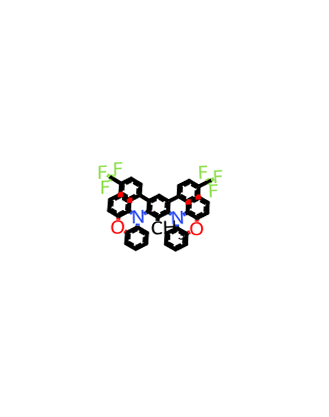 Cc1c(N2c3ccccc3Oc3ccccc32)c(-c2ccc(C(F)(F)F)cc2)cc(-c2ccc(C(F)(F)F)cc2)c1N1c2ccccc2Oc2ccccc21